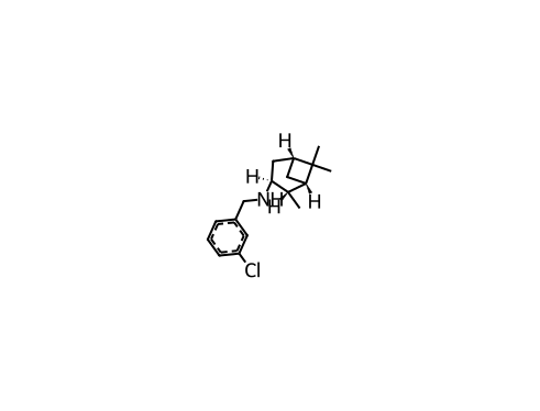 C[C@@H]1[C@@H](NCc2cccc(Cl)c2)C[C@H]2C[C@@H]1C2(C)C